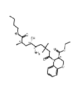 CCCCNC(=O)[C@H](C)C[C@H](O)[C@@H](N)CC(C)(C)CC(=O)N1c2ccccc2OC[C@@H]1C(=O)OCC